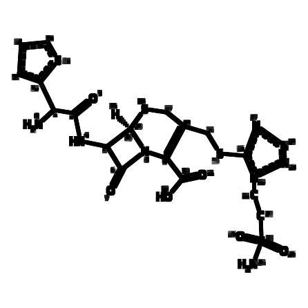 NC(C(=O)NC1C(=O)N2C(C(=O)O)=C(CSc3nnnn3CCS(N)(=O)=O)CS[C@H]12)c1cccs1